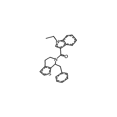 CCn1cc(C(=O)N2CCc3ccsc3C2Cc2ccccc2)c2ccccc21